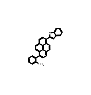 Cc1ccccc1-c1ccc2ccc3c(-c4cc5ccccc5o4)ccc4ccc1c2c43